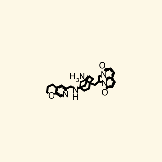 N[C@@]12CC3(NCc4cc5c(cn4)OCCC5)CCC1(CC1Cn4c(=O)ccc5ccc(=O)n1c54)CC2C3